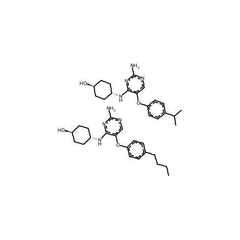 CC(C)c1ccc(Oc2cnc(N)nc2N[C@H]2CC[C@H](O)CC2)cc1.CCCCc1ccc(Oc2cnc(N)nc2N[C@H]2CC[C@H](O)CC2)cc1